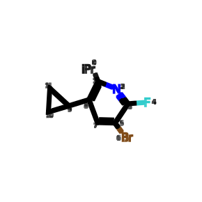 CC(C)c1nc(F)c(Br)cc1C1CC1